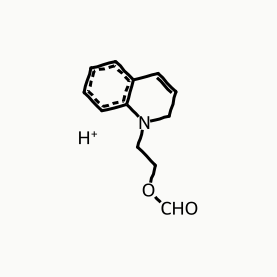 O=COCCN1CC=Cc2ccccc21.[H+]